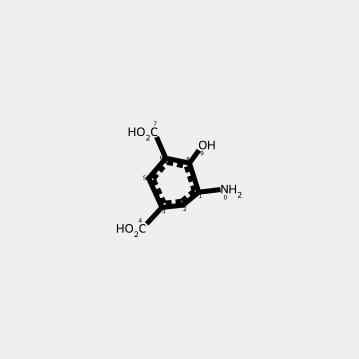 Nc1cc(C(=O)O)cc(C(=O)O)c1O